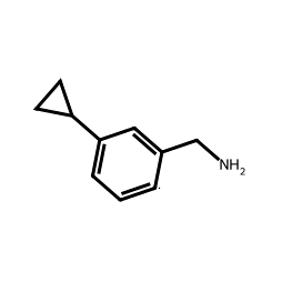 NCc1[c]ccc(C2CC2)c1